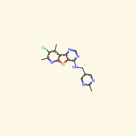 Cc1ncc(CNc2ncnc3c2oc2nc(C)c(Cl)c(C)c23)cn1